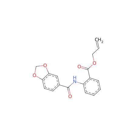 C=CCOC(=O)c1ccccc1NC(=O)c1ccc2c(c1)OCO2